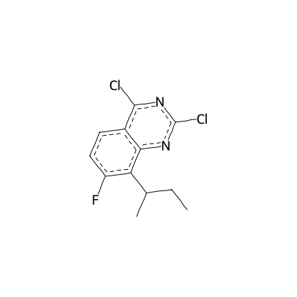 CCC(C)c1c(F)ccc2c(Cl)nc(Cl)nc12